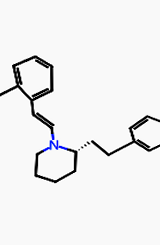 Cc1ccccc1/C=C/N1CCCC[C@H]1CCc1ccccc1